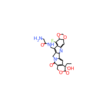 CC[C@@]1(O)C(=O)OCc2c1cc1n(c2=O)Cc2c-1nc1c(c2CNC(=O)CN)=C(F)C2OCOC2C=1